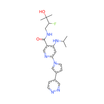 CC(C)Nc1cc(-n2ccc(-c3ccnnc3)c2)ncc1C(=O)NCC(F)C(C)(C)O